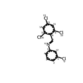 Clc1cccc(N=Cc2c(Cl)cc(Cl)cc2Cl)c1